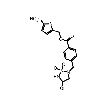 O=C(OCc1ccc(C(=O)O)s1)c1ccc(CN2CC(O)NS2(O)O)cc1